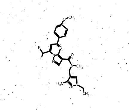 CCn1cc(CN(C)C(=O)c2cnn3c(C(F)F)cc(-c4ccc(OC)cc4)nc23)c(C)n1